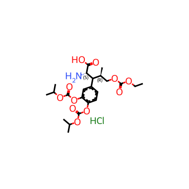 CCOC(=O)OC[C@H](C)C(c1ccc(OC(=O)OC(C)C)c(OC(=O)OC(C)C)c1)[C@H](N)C(=O)O.Cl